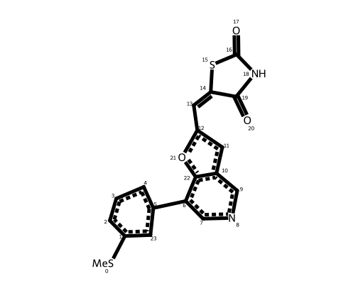 CSc1cccc(-c2cncc3cc(C=C4SC(=O)NC4=O)oc23)c1